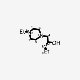 CCOC(O)CN1CCN(CC)CC1